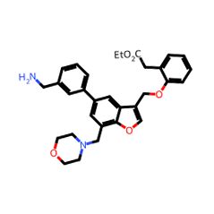 CCOC(=O)Cc1ccccc1OCc1coc2c(CN3CCOCC3)cc(-c3cccc(CN)c3)cc12